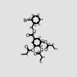 CCC(=O)Oc1cc(C(=O)OCc2ccccc2Br)cc(OC(=O)CC)c1OC(=O)CC